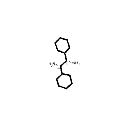 N[C@@H](C1CCCCC1)[C@@H](N)C1CCCCC1